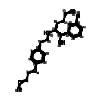 CCOCCOc1ccc(CCNC(CCOCC)C(O)c2cccc(Cl)n2)cc1